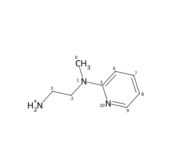 CN(CCN)c1ccccn1